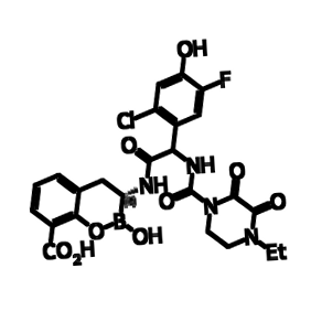 CCN1CCN(C(=O)NC(C(=O)N[C@H]2Cc3cccc(C(=O)O)c3OB2O)c2cc(F)c(O)cc2Cl)C(=O)C1=O